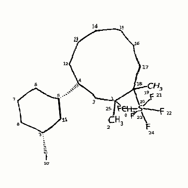 CC1(C)CC([C@H]2CCC[C@@H](I)C2)CCCCCCC1(C)S(F)(F)(F)(F)F